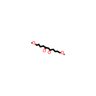 COCCCCC(=O)CC(=O)CCCCOC